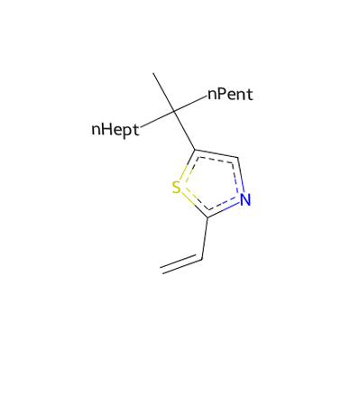 C=Cc1ncc(C(C)(CCCCC)CCCCCCC)s1